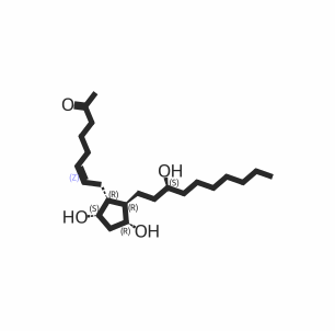 CCCCCCC[C@H](O)CC[C@@H]1[C@@H](C/C=C\CCCC(C)=O)[C@@H](O)C[C@H]1O